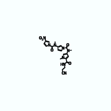 CN(C(=O)n1ccc(N(C)C(=O)n2ccc([N+](=O)[O-])c2)c1)c1cc(C(=O)NCCC#N)n(C)c1